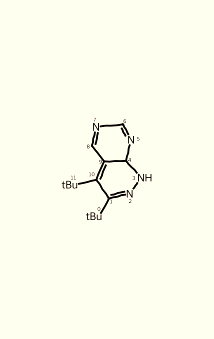 CC(C)(C)C1=NNC2N=CN=CC2=C1C(C)(C)C